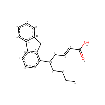 CCCCC(CC=CC(=O)O)c1cccc2c1Cc1ccccc1-2